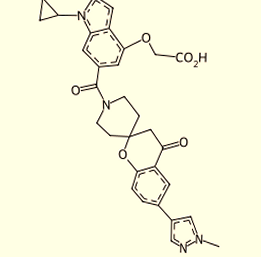 Cn1cc(-c2ccc3c(c2)C(=O)CC2(CCN(C(=O)c4cc(OCC(=O)O)c5ccn(C6CC6)c5c4)CC2)O3)cn1